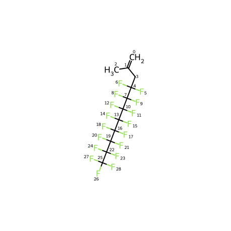 C=C(C)CC(F)(F)C(F)(F)C(F)(F)C(F)(F)C(F)(F)C(F)(F)C(F)(F)C(F)(F)F